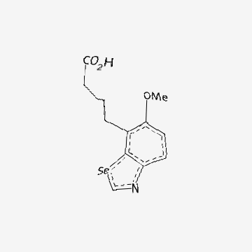 COc1ccc2nc[se]c2c1CCCC(=O)O